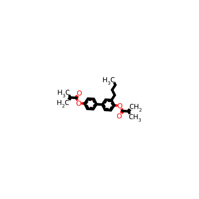 C=C(C)C(=O)Oc1ccc(-c2ccc(OC(=O)C(=C)C)c(CCCC)c2)cc1